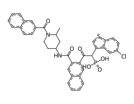 CC1CC(NC(=O)c2cc3ccccc3cc2C(=O)C(c2csc3ccc(Cl)cc23)P(=O)(O)O)CCN1C(=O)c1ccc2ccccc2c1